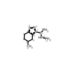 CC1CCc2nnn(P(P)PP)c2C1